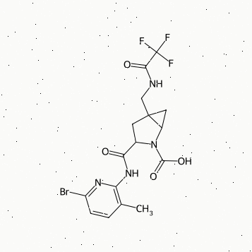 Cc1ccc(Br)nc1NC(=O)C1CC2(CNC(=O)C(F)(F)F)CC2N1C(=O)O